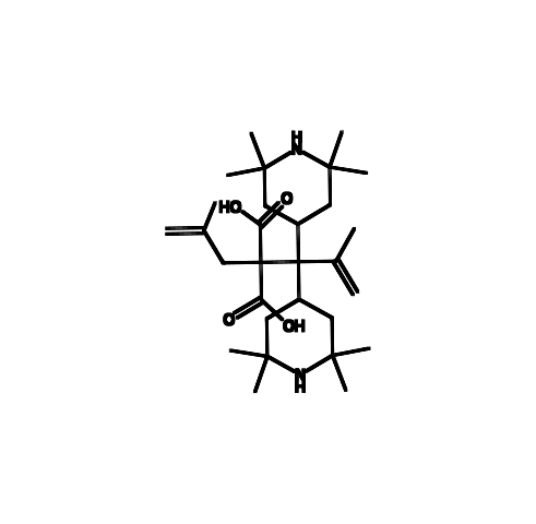 C=C(C)CC(C(=O)O)(C(=O)O)C(C(=C)C)(C1CC(C)(C)NC(C)(C)C1)C1CC(C)(C)NC(C)(C)C1